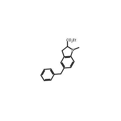 CCOC(=O)C1Cc2cc(Cc3ccccc3)ccc2N1C